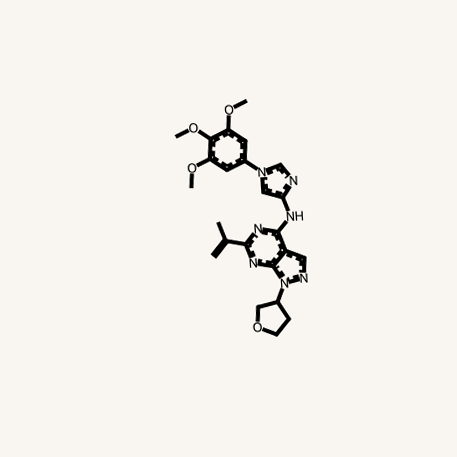 C=C(C)c1nc(Nc2cn(-c3cc(OC)c(OC)c(OC)c3)cn2)c2cnn(C3CCOC3)c2n1